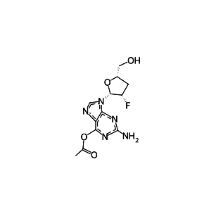 CC(=O)Oc1nc(N)nc2c1ncn2[C@@H]1O[C@H](CO)C[C@@H]1F